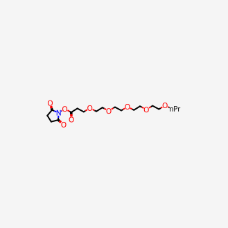 CCCOCCOCCOCCOCCOCCC(=O)ON1C(=O)CCC1=O